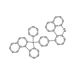 c1ccc(C2(c3ccc(-c4cccc5c4-c4cccc6cccc(c46)S5)cc3)c3ccccc3-c3c2ccc2ccccc32)cc1